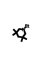 CCN1CC(C)(C)CC(C)(C)C1